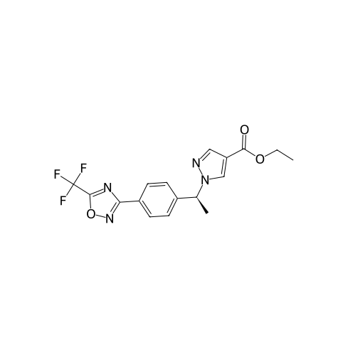 CCOC(=O)c1cnn([C@@H](C)c2ccc(-c3noc(C(F)(F)F)n3)cc2)c1